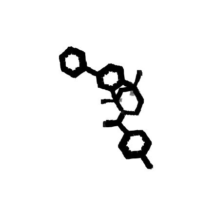 Cc1ccc(C(=O)N2CC[C@@H]3C[C@H]2c2cc(-c4ccccc4)ccc23)cc1